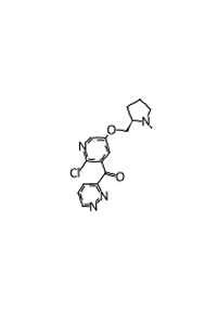 CN1CCC[C@@H]1COc1cnc(Cl)c(C(=O)c2cccnn2)c1